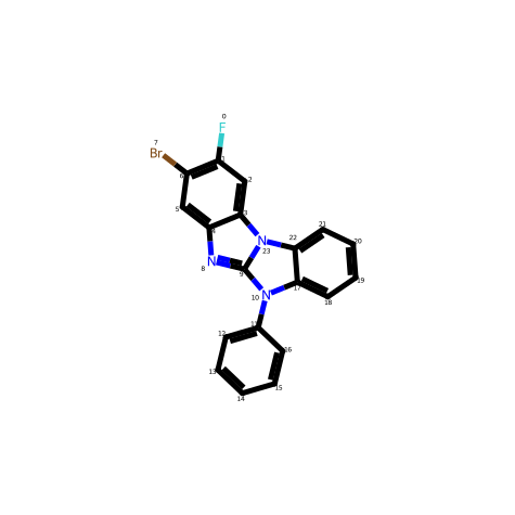 Fc1cc2c(cc1Br)nc1n(-c3ccccc3)c3ccccc3n21